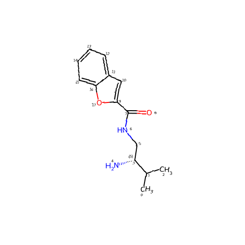 CC(C)[C@H](N)CNC(=O)c1cc2ccccc2o1